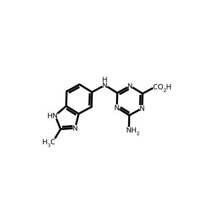 Cc1nc2cc(Nc3nc(N)nc(C(=O)O)n3)ccc2[nH]1